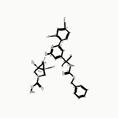 CC(C)(C)OC(=O)N1C[C@@H]2[C@H](C1)[C@@H]2Oc1cc(C(C)(C)NC(=O)OCc2ccccc2)cc(-c2ccc(F)cc2F)n1